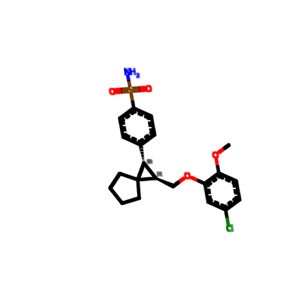 COc1ccc(Cl)cc1OC[C@@H]1[C@@H](c2ccc(S(N)(=O)=O)cc2)C12CCCC2